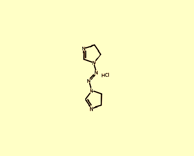 C1=NCCN1N=NN1C=NCC1.Cl